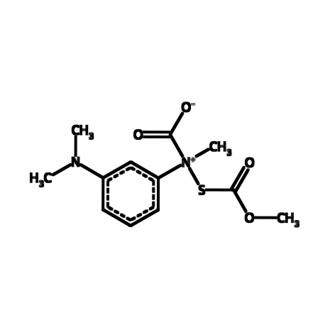 COC(=O)S[N+](C)(C(=O)[O-])c1cccc(N(C)C)c1